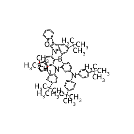 CC(C)(C)c1ccc(N(c2ccc(C(C)(C)C)cc2)c2ccc3c(c2)N(c2ccc(C(C)(C)C)cc2-c2ccccc2)c2cc(C(C)(C)C)cc4c2B3c2cc(C(C)(C)C)cc3c5c6ccccc6oc5n-4c23)cc1